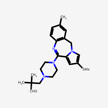 CSc1cc2n(c1)Cc1cc(C)ccc1N=C2N1CCN(CC(C)(C)C=O)CC1